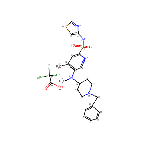 CN(c1cnc(S(=O)(=O)Nc2cscn2)cc1C(F)(F)F)C1CCN(Cc2ccccc2)CC1.O=C(O)C(F)(F)F